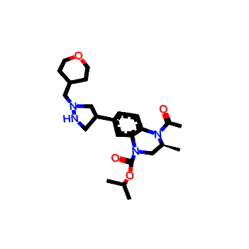 CC(=O)N1c2ccc(C3CNN(CC4CCOCC4)C3)cc2N(C(=O)OC(C)C)C[C@@H]1C